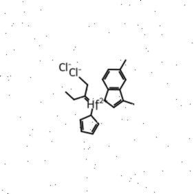 CC[C](CC)=[Hf+2]([CH]1C=CC=C1)[CH]1C=C(C)c2cc(C)ccc21.[Cl-].[Cl-]